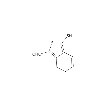 O=Cc1sc(S)c2c1CCC=C2